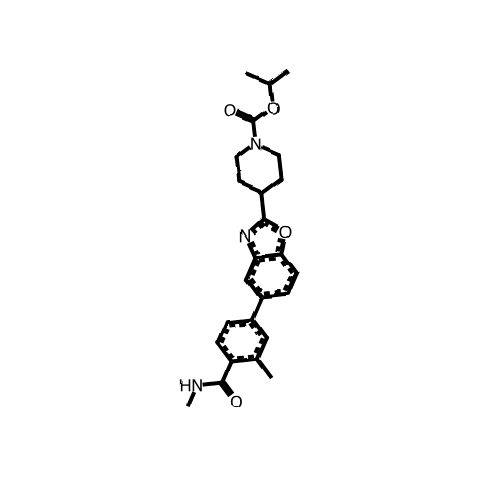 CNC(=O)c1ccc(-c2ccc3oc(C4CCN(C(=O)OC(C)C)CC4)nc3c2)cc1C